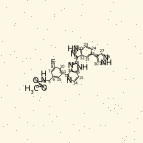 CS(=O)(=O)NCc1cc(F)cc(-c2nccc3[nH]c(-c4n[nH]c5ccc(-c6cn[nH]c6)cc45)nc23)c1